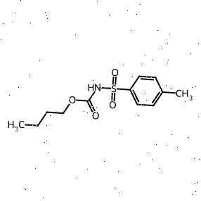 CCCCOC(=O)NS(=O)(=O)c1ccc(C)cc1